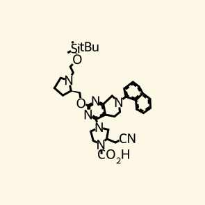 CC(C)(C)[Si](C)(C)OCCN1CCC[C@@H]1COc1nc2c(c(N3CCN(C(=O)O)C(CC#N)C3)n1)CCN(c1cccc3ccccc13)C2